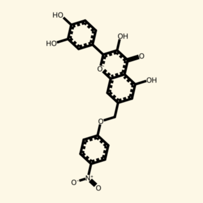 O=c1c(O)c(-c2ccc(O)c(O)c2)oc2cc(COc3ccc([N+](=O)[O-])cc3)cc(O)c12